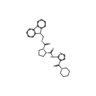 O=C(Nc1sccc1C(=O)N1CCCCC1)[C@H]1CCCN1C(=O)OCC1c2ccccc2-c2ccccc21